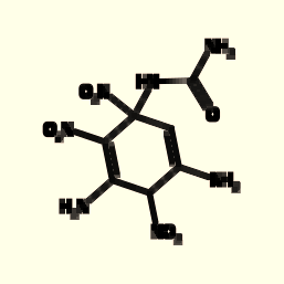 NC(=O)NC1([N+](=O)[O-])C=C(N)C([N+](=O)[O-])C(N)=C1[N+](=O)[O-]